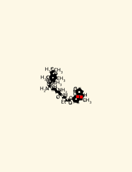 CCN(CCNC(=O)[C@@H](N)CCCN/C(N)=N\S(=O)(=O)c1c(C)c(C)c2c(c1C)CC(C)(C)O2)C(=O)Oc1ccc2c3c1O[C@H]1C(=O)CCC4[C@@H](C2)N(C)CC[C@@]341